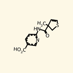 CC1(C(=O)Nc2ccc(C(=O)O)cn2)C=CSC1